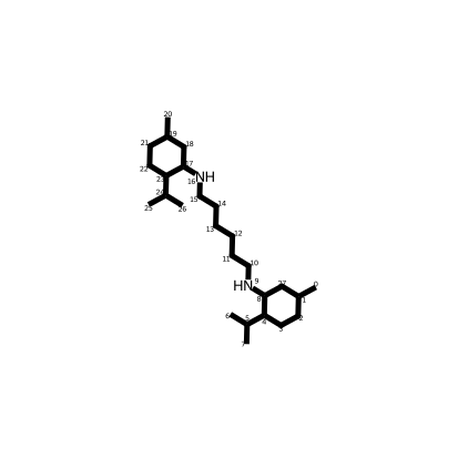 CC1CCC(C(C)C)C(NCCCCCCNC2CC(C)CCC2C(C)C)C1